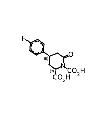 O=C(O)[C@H]1C[C@@H](c2ccc(F)cc2)CC(=O)N1C(=O)O